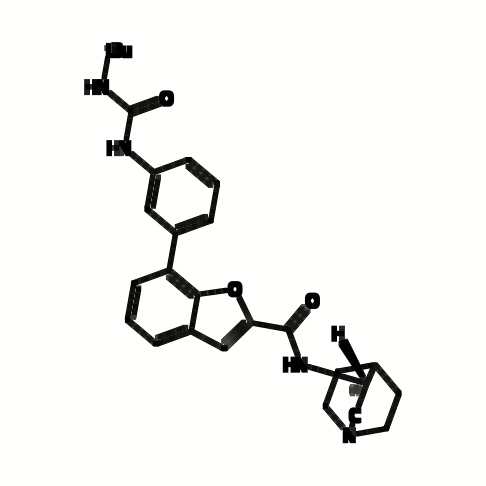 CC(C)(C)NC(=O)Nc1cccc(-c2cccc3cc(C(=O)N[C@H]4CN5CCC4CC5)oc23)c1